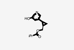 CC(C)C(=O)OC[C@@H]1CC1c1cncc(O)c1